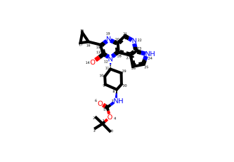 CC(C)(C)OC(=O)N[C@H]1CC[C@H](n2c(=O)c(C3CC3)nc3cnc4[nH]ccc4c32)CC1